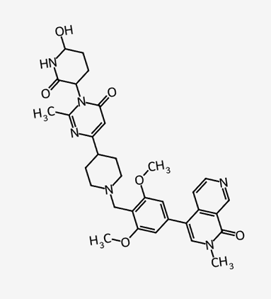 COc1cc(-c2cn(C)c(=O)c3cnccc23)cc(OC)c1CN1CCC(c2cc(=O)n(C3CCC(O)NC3=O)c(C)n2)CC1